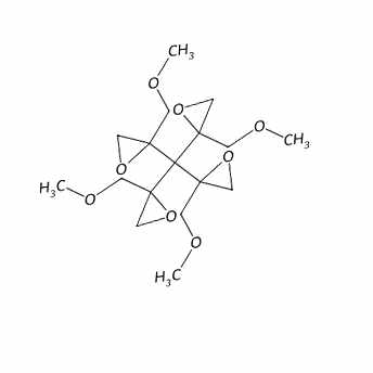 COCC1(C(C2(COC)CO2)(C2(COC)CO2)C2(COC)CO2)CO1